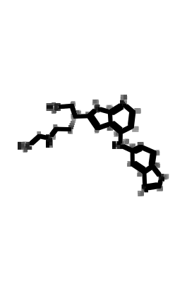 CCNCC[C@H](CC)c1cc2c(Nc3ccc4scnc4c3)ccnc2s1